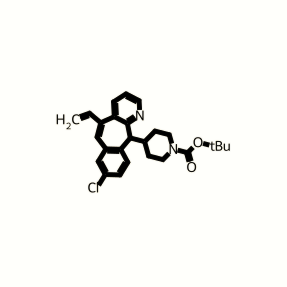 C=CC1=Cc2cc(Cl)ccc2C(C2CCN(C(=O)OC(C)(C)C)CC2)c2ncccc21